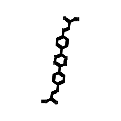 O=C(O)/C=N/c1ccc(-c2nnc(-c3ccc(/N=C/C(=O)O)cc3)nn2)cc1